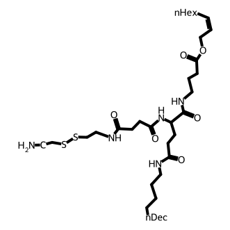 CCCCCC/C=C\COC(=O)CCCNC(=O)C(CCC(=O)NCCCCCCCCCCCCCC)NC(=O)CCC(=O)NCCSSCCN